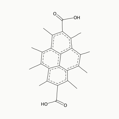 Cc1c(C(=O)O)c(C)c2c(C)c(C)c3c(C)c(C(=O)O)c(C)c4c(C)c(C)c1c2c43